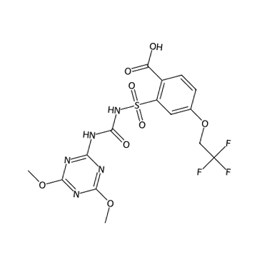 COc1nc(NC(=O)NS(=O)(=O)c2cc(OCC(F)(F)F)ccc2C(=O)O)nc(OC)n1